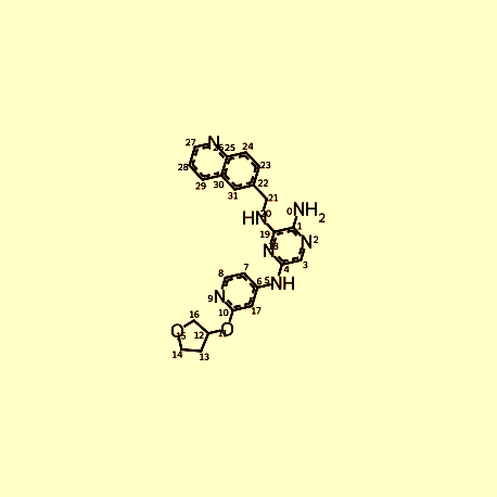 Nc1ncc(Nc2ccnc(OC3CCOC3)c2)nc1NCc1ccc2ncccc2c1